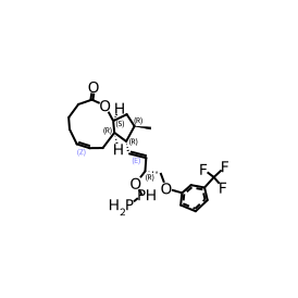 C[C@@H]1C[C@@H]2OC(=O)CCC/C=C\C[C@@H]2[C@H]1/C=C/[C@H](COc1cccc(C(F)(F)F)c1)OPP